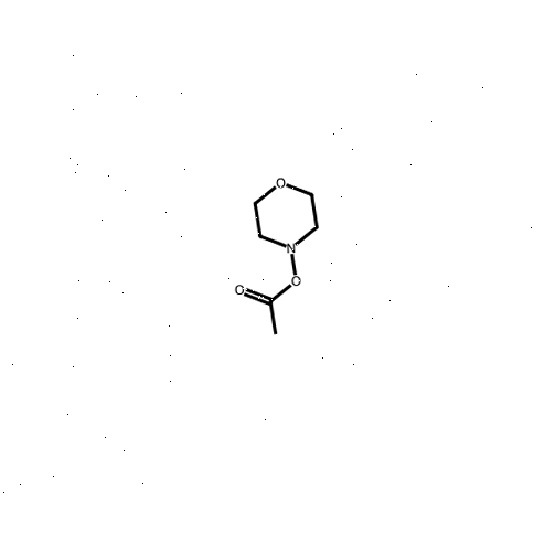 CC(=O)ON1CCOCC1